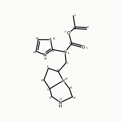 C=C(C)OC(=O)N(CC1CCC2CNCCN21)c1nccs1